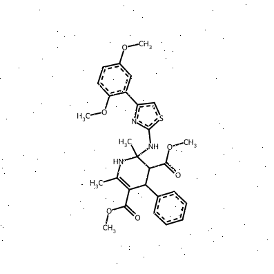 COC(=O)C1=C(C)NC(C)(Nc2nc(-c3cc(OC)ccc3OC)cs2)C(C(=O)OC)C1c1ccccc1